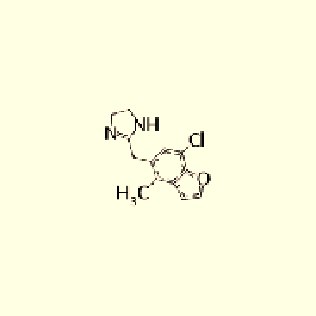 Cc1c(CC2=NCCN2)cc(Cl)c2occc12